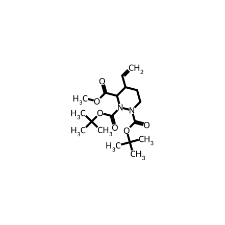 C=CC1CCN(C(=O)OC(C)(C)C)N(C(=O)OC(C)(C)C)C1C(=O)OC